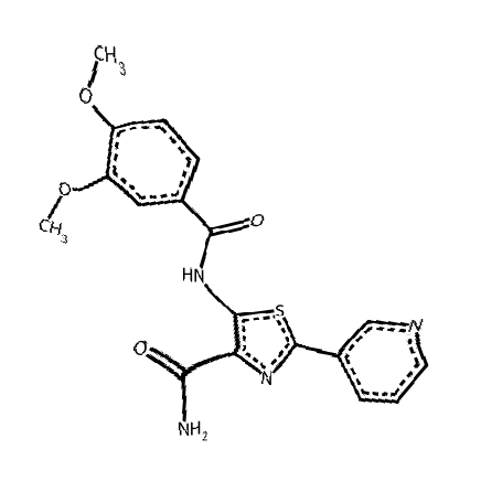 COc1ccc(C(=O)Nc2sc(-c3cccnc3)nc2C(N)=O)cc1OC